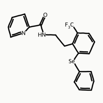 O=C(NCCc1c([Se]c2ccccc2)cccc1C(F)(F)F)c1ccccn1